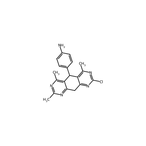 Cc1nc(C)c2c(n1)Cc1nc(Cl)nc(C)c1C2c1ccc(N)cc1